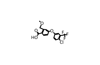 COCc1cc(Oc2ccc(Cl)c(C(F)(F)F)c2)ccc1C(=O)O